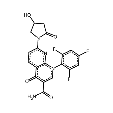 NC(=O)c1cn(-c2c(F)cc(F)cc2F)c2nc(N3CC(O)CC3=O)ccc2c1=O